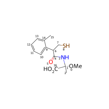 CO[C@@](C)(NC(=O)C(CS)c1ccccc1C)C(=O)O